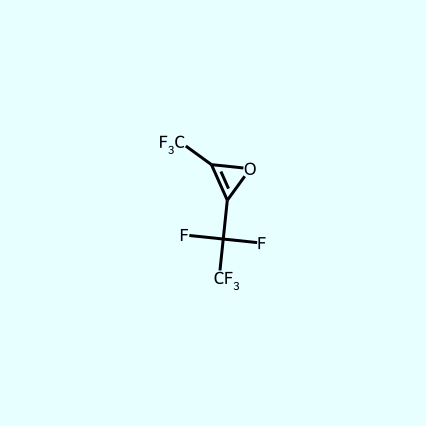 FC(F)(F)C1=C(C(F)(F)C(F)(F)F)O1